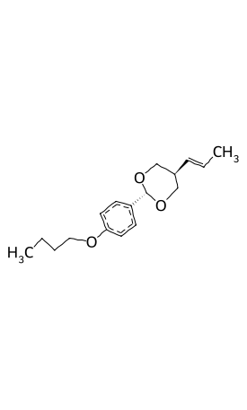 CC=C[C@H]1CO[C@H](c2ccc(OCCCC)cc2)OC1